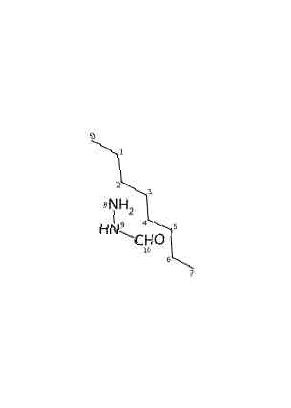 CCCCCCCC.NNC=O